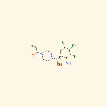 C=CC(=O)N1CCN(/C(S)=C2\C=C(Cl)C(Br)=C(F)C2=N)CC1